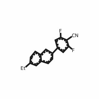 CCc1ccc2cc(-c3cc(F)c(C#N)c(F)c3)ccc2c1